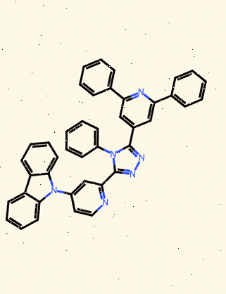 c1ccc(-c2cc(-c3nnc(-c4cc(-n5c6ccccc6c6ccccc65)ccn4)n3-c3ccccc3)cc(-c3ccccc3)n2)cc1